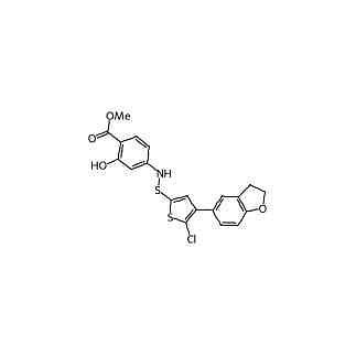 COC(=O)c1ccc(NSc2cc(-c3ccc4c(c3)CCO4)c(Cl)s2)cc1O